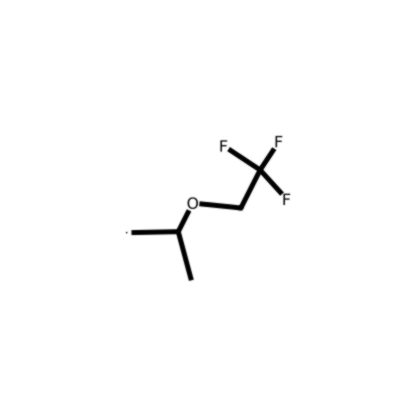 [CH2]C(C)OCC(F)(F)F